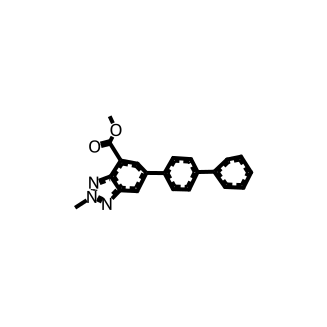 COC(=O)c1cc(-c2ccc(-c3ccccc3)cc2)cc2nn(C)nc12